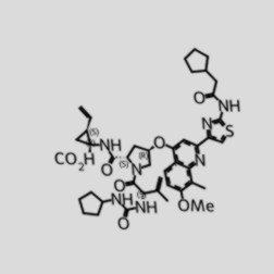 C=C[C@@H]1C[C@]1(NC(=O)[C@@H]1C[C@@H](Oc2cc(-c3csc(NC(=O)CC4CCCC4)n3)nc3c(C)c(OC)ccc23)CN1C(=O)[C@@H](NC(=O)NC1CCCC1)C(=C)C)C(=O)O